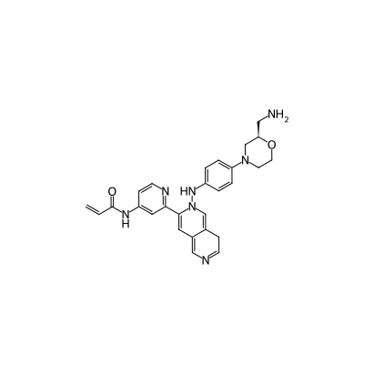 C=CC(=O)Nc1ccnc(C2=CC3=CN=CCC3=CN2Nc2ccc(N3CCO[C@H](CN)C3)cc2)c1